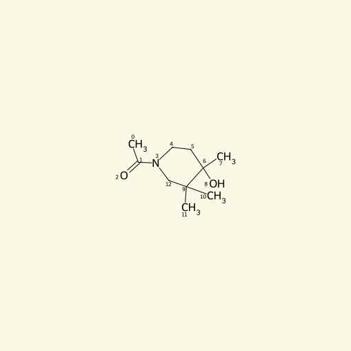 CC(=O)N1CCC(C)(O)C(C)(C)C1